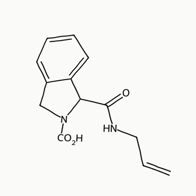 C=CCNC(=O)C1c2ccccc2CN1C(=O)O